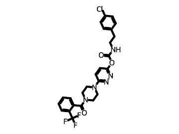 O=C(NCCc1ccc(Cl)cc1)Oc1ccc(N2CCN(C(=O)c3ccccc3C(F)(F)F)CC2)nn1